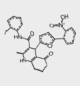 CC1=C(C(=O)Nc2ccccc2I)C(c2ccc(-c3ccccc3[N+](=O)O)o2)C2=C(CCCC2=O)N1